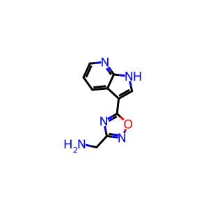 NCc1noc(-c2c[nH]c3ncccc23)n1